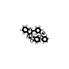 O=S(=O)(c1ccccc1)c1cccc(-c2nc3ccccc3c3nc4oc5ccccc5n4c23)c1